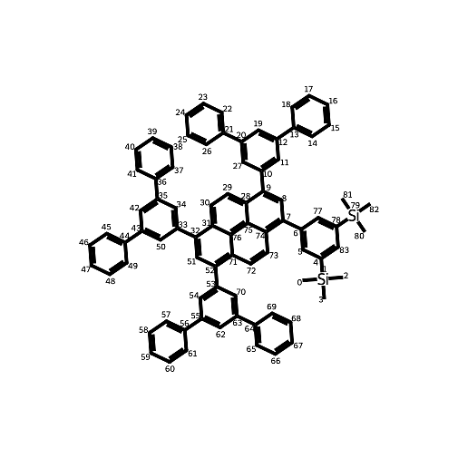 C[Si](C)(C)c1cc(-c2cc(-c3cc(-c4ccccc4)cc(-c4ccccc4)c3)c3ccc4c(-c5cc(-c6ccccc6)cc(-c6ccccc6)c5)cc(-c5cc(-c6ccccc6)cc(-c6ccccc6)c5)c5ccc2c3c45)cc([Si](C)(C)C)c1